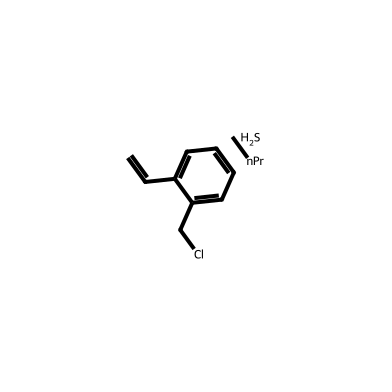 C=Cc1ccccc1CCl.CCCC.S